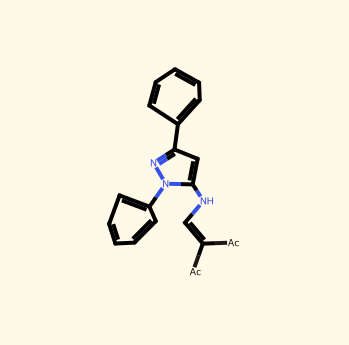 CC(=O)C(=CNc1cc(-c2ccccc2)nn1-c1ccccc1)C(C)=O